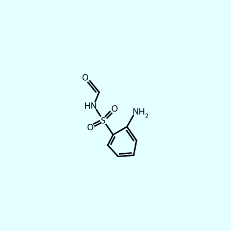 Nc1ccccc1S(=O)(=O)NC=O